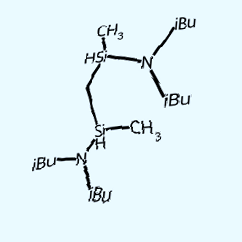 CCC(C)N(C(C)CC)[SiH](C)C[SiH](C)N(C(C)CC)C(C)CC